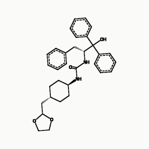 O=C(N[C@H](Cc1ccccc1)C(O)(c1ccccc1)c1ccccc1)N[C@H]1CC[C@H](CC2OCCO2)CC1